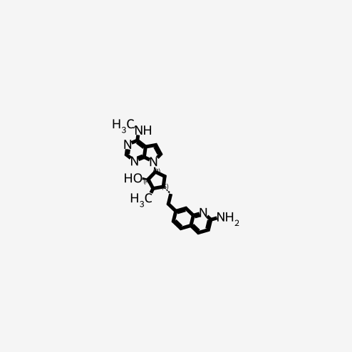 CNc1ncnc2c1ccn2[C@@H]1C[C@H](CCc2ccc3ccc(N)nc3c2)C(C)[C@H]1O